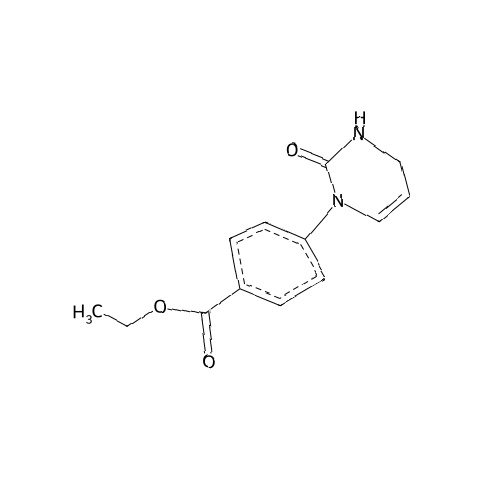 CCOC(=O)c1ccc(N2C=CCNC2=O)cc1